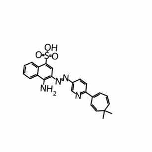 CC1(C)C=CC=C(c2ccc(/N=N/c3cc(S(=O)(=O)O)c4ccccc4c3N)cn2)C=C1